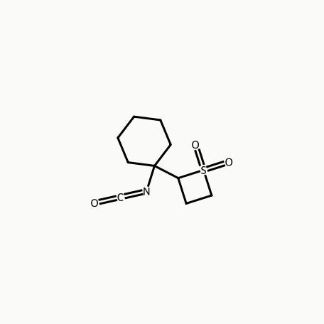 O=C=NC1(C2CCS2(=O)=O)CCCCC1